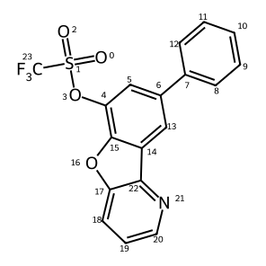 O=S(=O)(Oc1cc(-c2ccccc2)cc2c1oc1cccnc12)C(F)(F)F